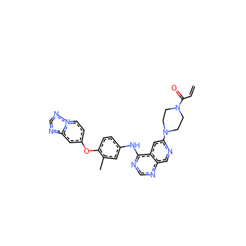 C=CC(=O)N1CCN(c2cc3c(Nc4ccc(Oc5ccn6ncnc6c5)c(C)c4)ncnc3cn2)CC1